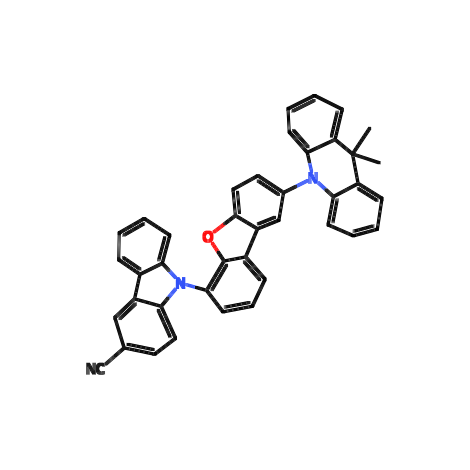 CC1(C)c2ccccc2N(c2ccc3oc4c(-n5c6ccccc6c6cc(C#N)ccc65)cccc4c3c2)c2ccccc21